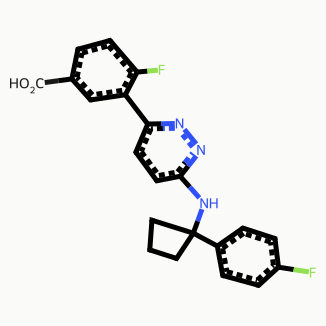 O=C(O)c1ccc(F)c(-c2ccc(NC3(c4ccc(F)cc4)CCC3)nn2)c1